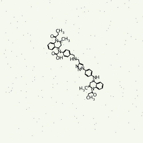 CCC(=O)N1c2ccccc2[C@H](N(C(=O)O)c2ccc(CNCc3cn(-c4ccc(N[C@@H]5C[C@H](C)N(C(=O)CC)c6ccccc65)cc4)nn3)cc2)C[C@@H]1C